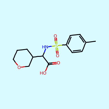 Cc1ccc(S(=O)(=O)NC(C(=O)O)C2CCCOC2)cc1